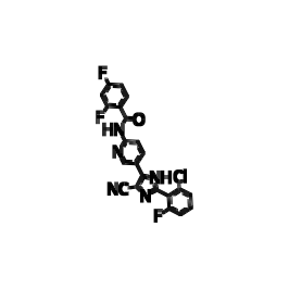 N#Cc1nc(-c2c(F)cccc2Cl)[nH]c1-c1ccc(NC(=O)c2ccc(F)cc2F)nc1